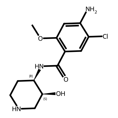 COc1cc(N)c(Cl)cc1C(=O)N[C@@H]1CCNC[C@@H]1O